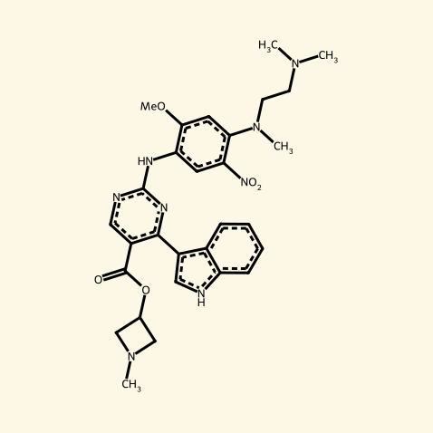 COc1cc(N(C)CCN(C)C)c([N+](=O)[O-])cc1Nc1ncc(C(=O)OC2CN(C)C2)c(-c2c[nH]c3ccccc23)n1